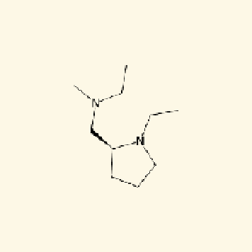 CCN(C)C[C@@H]1CCCN1CC